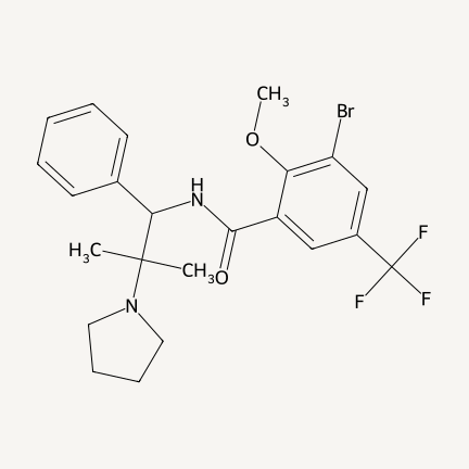 COc1c(Br)cc(C(F)(F)F)cc1C(=O)NC(c1ccccc1)C(C)(C)N1CCCC1